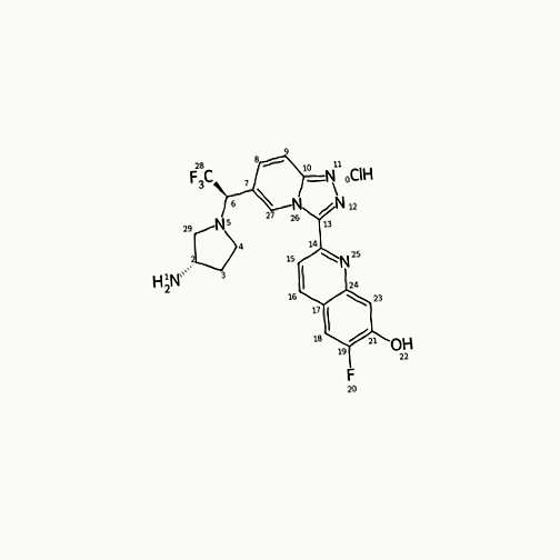 Cl.N[C@H]1CCN([C@H](c2ccc3nnc(-c4ccc5cc(F)c(O)cc5n4)n3c2)C(F)(F)F)C1